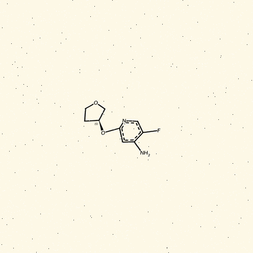 Nc1cc(O[C@H]2CCOC2)ncc1F